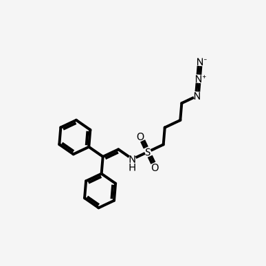 [N-]=[N+]=NCCCCS(=O)(=O)NC=C(c1ccccc1)c1ccccc1